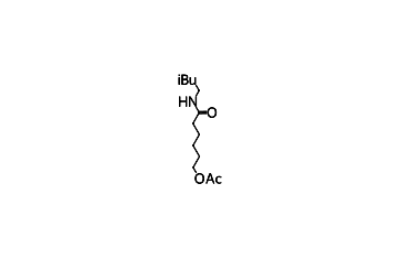 CCC(C)CNC(=O)CCCCCOC(C)=O